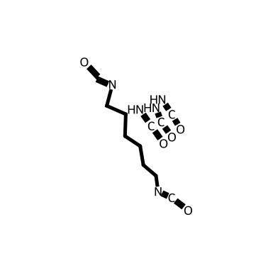 N=C=O.N=C=O.N=C=O.O=C=NCCCCCCN=C=O